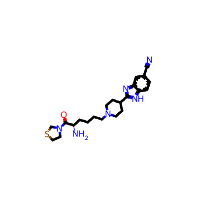 N#Cc1ccc2[nH]c(C3CCN(CCCC[C@H](N)C(=O)N4CCSC4)CC3)nc2c1